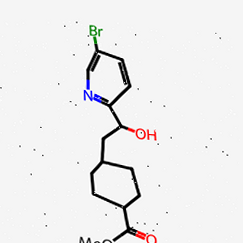 COC(=O)C1CCC(CC(O)c2ccc(Br)cn2)CC1